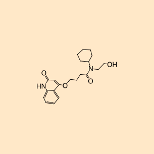 O=C(CCCOc1cc(=O)[nH]c2ccccc12)N(CCO)C1CCCCC1